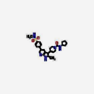 CNS(=O)(=O)c1ccc(-c2cnc3[nH]c(C)c(C4=CCN(C(=O)NC5CCCC5)CC4)c3c2)cc1